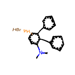 Br.CN(C)c1cccc(-c2ccccc2)c1-c1ccccc1.P